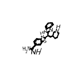 N=C(N)c1ccc2nc(C(CC3CCCNC3)c3nc4ccccc4[nH]3)sc2c1